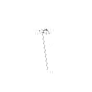 CCCCCCCCCCCCCCCCCCC(N)(CC(C)(C)O)[N+](O)(O)[SiH3].[Cl-]